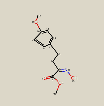 COC(=O)C(CCc1ccc(OC)cc1)=NO